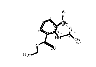 CCOC(=O)c1cccc([N+](=O)[O-])c1NC(C)C